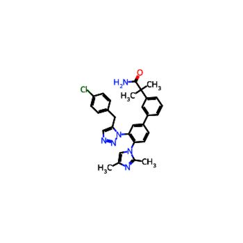 Cc1cn(-c2ccc(-c3cccc(C(C)(C)C(N)=O)c3)cc2-n2nncc2Cc2ccc(Cl)cc2)c(C)n1